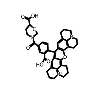 O=C(O)c1cc(C(=O)N2CCC(C(=O)O)CC2)ccc1C1=c2cc3c4c(c2Oc2c1cc1c5c2CCCN5CCC1)CCC[N+]=4CCC3